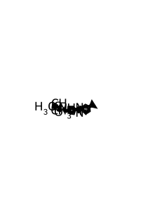 CC(C)(C)OC(=O)NCc1ccc(-c2nc3n(n2)CCC(C2CC2)C3)cc1